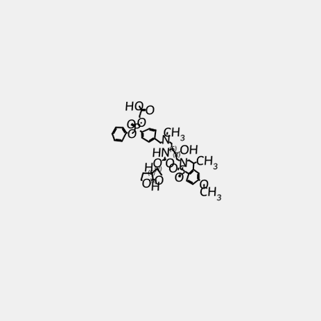 COc1ccc2c(c1)C(C)CN(C[C@@H](O)[C@H](CN(C)Cc1ccc(P(=O)(OCC(=O)O)Oc3ccccc3)cc1)NC(=O)O[C@H]1CO[C@H]3OCC[C@H]31)S2(=O)=O